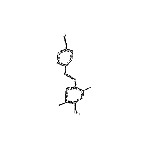 Cc1cc(N=Nc2ccc(Cl)cc2)c(C)cc1N